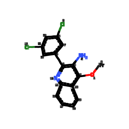 CC(C)Oc1c(N)c(-c2cc(Cl)cc(Cl)c2)nc2ccccc12